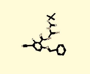 CC(C)(C)OC(=O)NC(=N)NC(=O)c1c(OCc2ccccc2)ccc(C#N)c1F